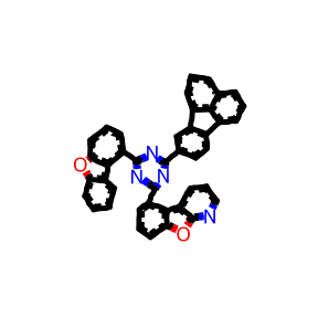 c1cc2c3c(cccc3c1)-c1cc(-c3nc(-c4cccc5oc6ccccc6c45)nc(-c4cccc5oc6ncccc6c45)n3)ccc1-2